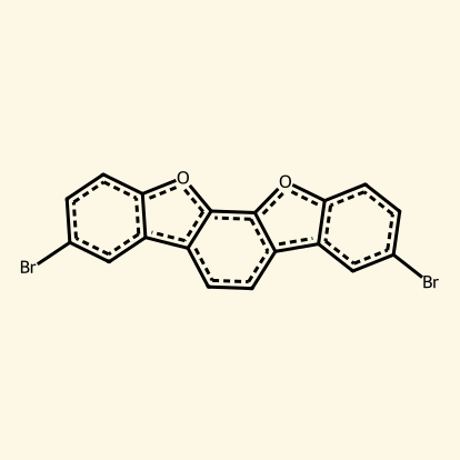 Brc1ccc2oc3c(ccc4c5cc(Br)ccc5oc43)c2c1